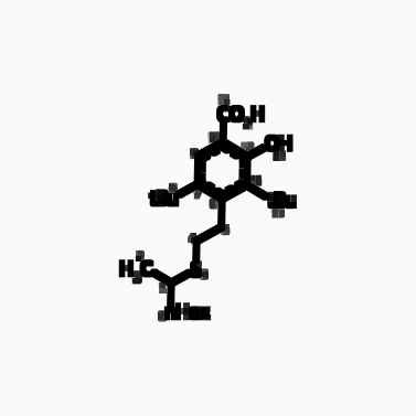 CCCCCCC(C)SCCc1c(C(C)(C)C)cc(C(=O)O)c(O)c1C(C)(C)C